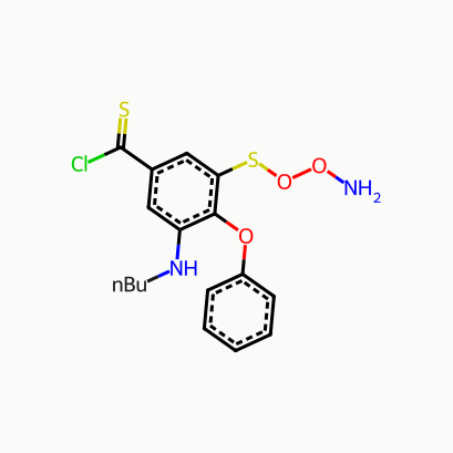 CCCCNc1cc(C(=S)Cl)cc(SOON)c1Oc1ccccc1